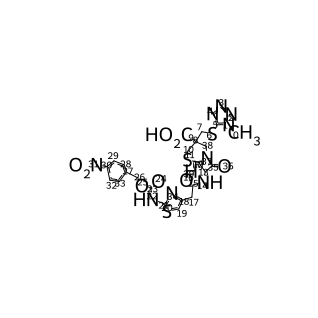 Cn1nnnc1SCC1(C(=O)O)CS[C@@H]2C(NC(=O)Cc3csc(NC(=O)OCc4ccc([N+](=O)[O-])cc4)n3)C(=O)N2C1